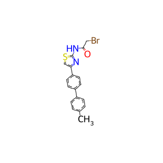 Cc1ccc(-c2ccc(-c3csc(NC(=O)CBr)n3)cc2)cc1